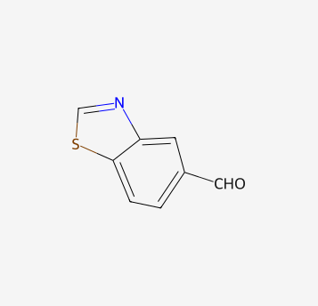 O=Cc1ccc2scnc2c1